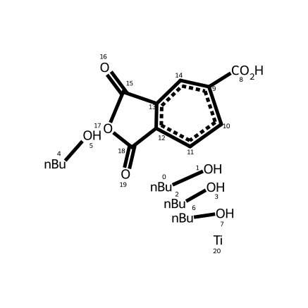 CCCCO.CCCCO.CCCCO.CCCCO.O=C(O)c1ccc2c(c1)C(=O)OC2=O.[Ti]